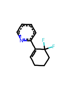 FC1(F)CCCC=C1c1ccccn1